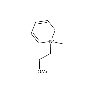 COCC[N+]1(C)C=CC=CC1